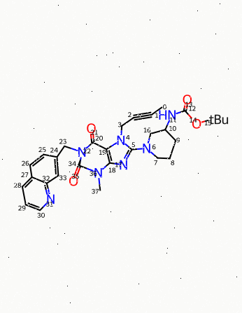 CC#CCn1c(N2CCCC(NC(=O)OC(C)(C)C)C2)nc2c1c(=O)n(Cc1ccc3cccnc3c1)c(=O)n2C